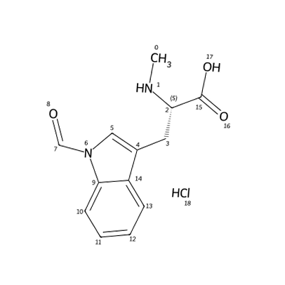 CN[C@@H](Cc1cn(C=O)c2ccccc12)C(=O)O.Cl